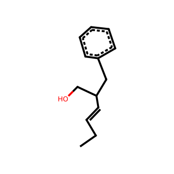 CCC=CC(CO)Cc1ccccc1